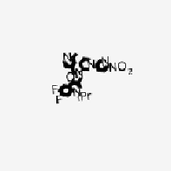 Cc1cc(CN(Cc2cn(C(C)C)c3cc(F)c(F)cc3c2=O)[C@H]2CCCN(c3ccc([N+](=O)[O-])nc3)C2)ccn1